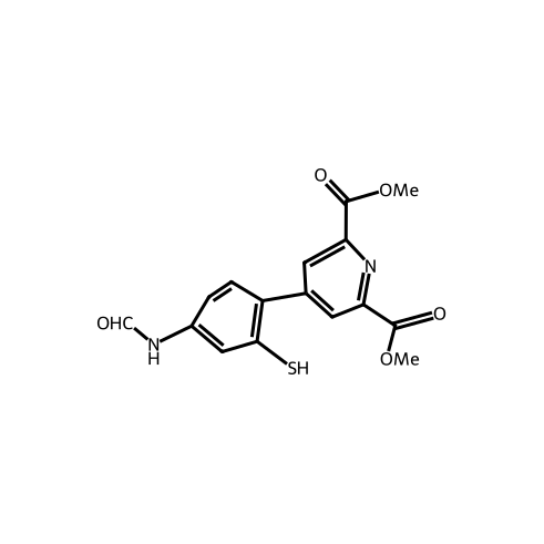 COC(=O)c1cc(-c2ccc(NC=O)cc2S)cc(C(=O)OC)n1